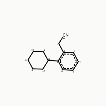 N#CCc1ccc[c]c1C1CCCCC1